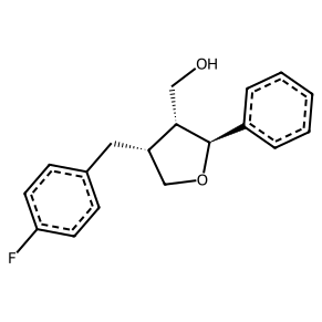 OC[C@H]1[C@@H](Cc2ccc(F)cc2)CO[C@@H]1c1ccccc1